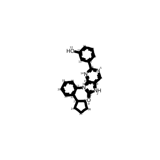 O=c1[nH]c2cnc(-c3cccc(O)c3)nc2n1-c1ccccc1C1CCCC1